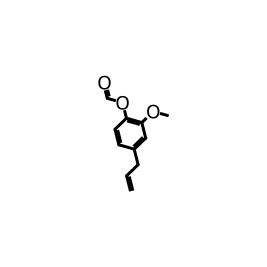 C=CCc1ccc(OC=O)c(OC)c1